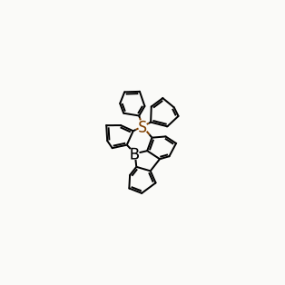 c1ccc(S2(c3ccccc3)c3ccccc3B3c4ccccc4-c4cccc2c43)cc1